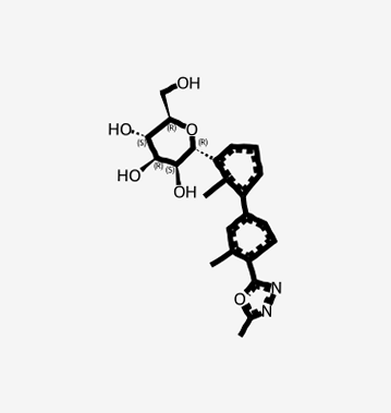 Cc1nnc(-c2ccc(-c3cccc([C@H]4O[C@H](CO)[C@@H](O)[C@H](O)[C@@H]4O)c3C)cc2C)o1